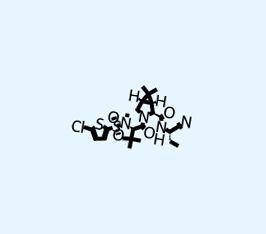 CC[C@@H](C#N)NC(=O)[C@@H]1[C@@H]2[C@H](CN1C(=O)[C@@H](N(C)S(=O)(=O)c1ccc(Cl)s1)C(C)(C)C)C2(C)C